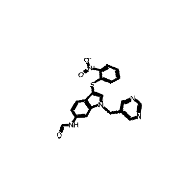 O=CNc1ccc2c(Sc3ccccc3[N+](=O)[O-])cn(Cc3cncnc3)c2c1